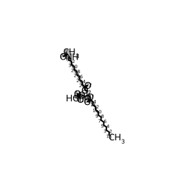 CCCCCCCCCCCCCCCC(=O)O[C@@H](COC(=O)CCCCCCCCCCCNC(C)=O)COP(=O)(O)O